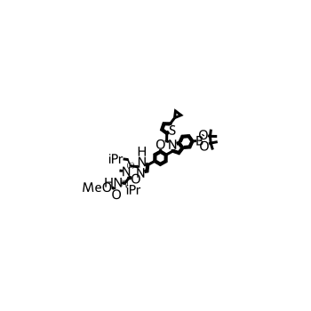 COC(=O)N[C@H](C(=O)N(C)[C@@H](CC(C)C)c1ncc(-c2ccc3c(c2)OC(c2ccc(C4CC4)s2)n2c-3cc3cc(B4OC(C)(C)C(C)(C)O4)ccc32)[nH]1)C(C)C